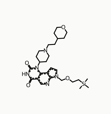 C[Si](C)(C)CCOCn1ccc2c1ncc1c(=O)[nH]c(=O)n(C3CCN(CCC4CCOCC4)CC3)c12